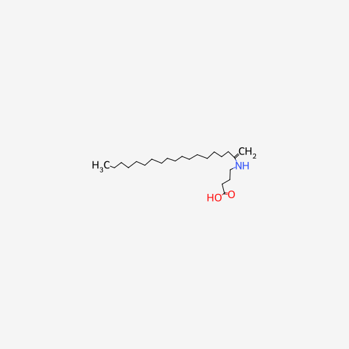 C=C(CCCCCCCCCCCCCCCCC)NCCCC(=O)O